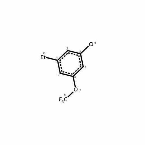 [CH2]Cc1cc(Cl)cc(OC(F)(F)F)c1